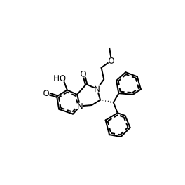 COCCN1C(=O)c2c(O)c(=O)ccn2C[C@H]1C(c1ccccc1)c1ccccc1